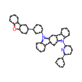 c1ccc(-c2cccc(-n3c4ccccc4c4cc5c(cc43)c3ccccc3n5-c3cccc(-c4ccc5oc6ccccc6c5c4)c3)n2)cc1